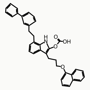 O=C(O)Oc1[nH]c2c(CCc3cccc(-c4ccccc4)c3)cccc2c1CCCOc1cccc2ccccc12